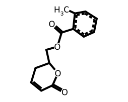 Cc1ccccc1C(=O)OCC1CC=CC(=O)O1